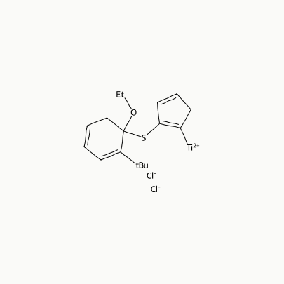 CCOC1(SC2=[C]([Ti+2])CC=C2)CC=CC=C1C(C)(C)C.[Cl-].[Cl-]